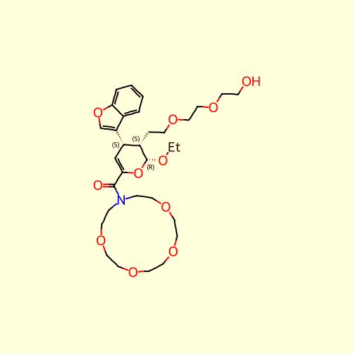 CCO[C@@H]1OC(C(=O)N2CCOCCOCCOCCOCC2)=C[C@H](c2coc3ccccc23)[C@@H]1CCOCCOCCO